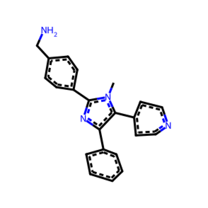 Cn1c(-c2ccc(CN)cc2)nc(-c2ccccc2)c1-c1ccncc1